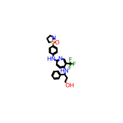 O=S1(c2ccc(NC3=NC=C(C(F)(F)F)C(NC(CCO)c4ccccc4)=C=C3)cc2)=NCCC1